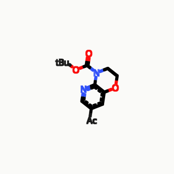 CC(=O)c1cnc2c(c1)OCCN2C(=O)OC(C)(C)C